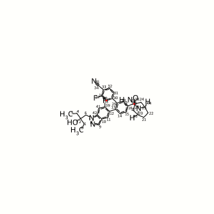 CCC(O)(CC)Cn1ncc2cc(-c3ccc(C(=O)N4[C@@H]5CC[C@H]4C[C@@H](N)C5)cc3-c3ccc(C#N)c(F)c3)c(F)cc21